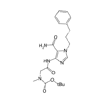 CN(CC(=O)Nc1ncn(CCCc2ccccc2)c1C(N)=O)C(=O)OC(C)(C)C